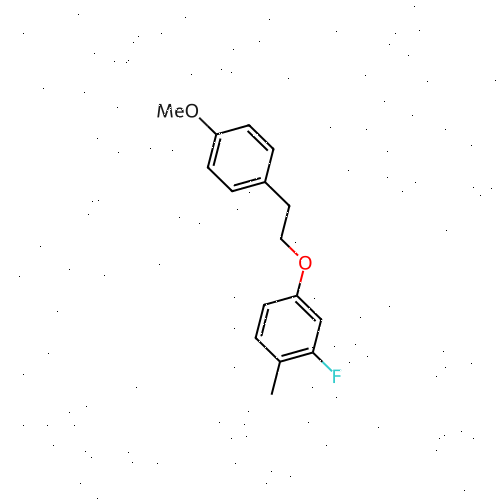 COc1ccc(CCOc2ccc(C)c(F)c2)cc1